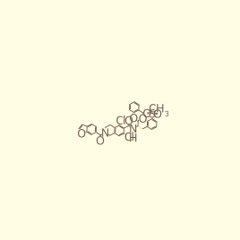 CS(=O)(=O)c1cccc(C[C@H](NC(=O)c2c(Cl)cc3c(c2Cl)CCN(C(=O)c2ccc4ccoc4c2)C3)C(=O)OCc2ccccc2)c1